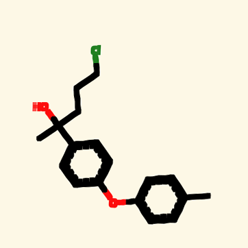 Cc1ccc(Oc2ccc(C(C)(O)CCCCl)cc2)cc1